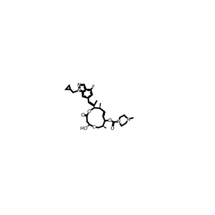 C/C(=C\c1cc(F)c2cnn(CC3CC3)c2c1)[C@H]1OC(=O)C[C@H](O)CC[C@H](C)C(OC(=O)N2CCN(C)CC2)/C=C/[C@@H]1C